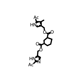 CC(=O)c1ncc(COC(=O)C2CCCC(C(=O)OCc3c[nH]c(C(C)=O)c3C)C2)[nH]1